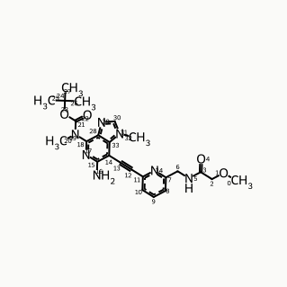 COCC(=O)NCc1cccc(C#Cc2c(N)nc(N(C)C(=O)OC(C)(C)C)c3ncn(C)c23)n1